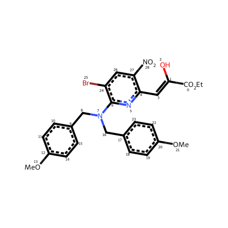 CCOC(=O)/C(O)=C/c1nc(N(Cc2ccc(OC)cc2)Cc2ccc(OC)cc2)c(Br)cc1[N+](=O)[O-]